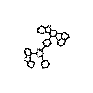 c1ccc(-c2nc(-c3ccc(-c4c5c(cc6oc7ccccc7c46)-c4cccc6cccc-5c46)cc3)nc(-c3cccc4oc5ccccc5c34)n2)cc1